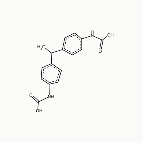 CC(c1ccc(NC(=O)O)cc1)c1ccc(NC(=O)O)cc1